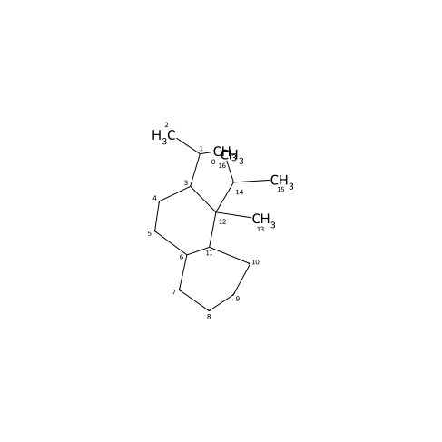 CC(C)C1CCC2CCCCC2C1(C)C(C)C